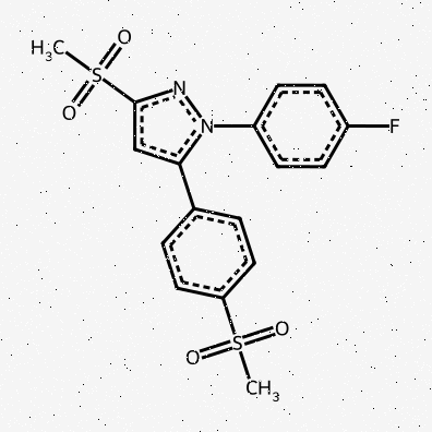 CS(=O)(=O)c1ccc(-c2cc(S(C)(=O)=O)nn2-c2ccc(F)cc2)cc1